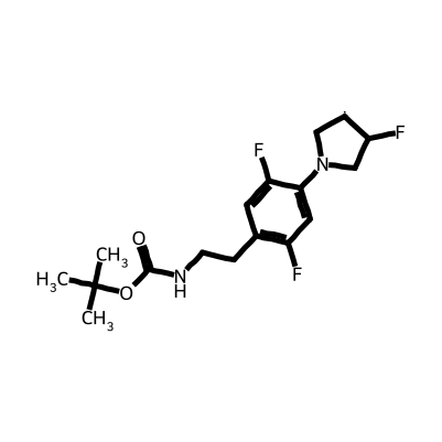 CC(C)(C)OC(=O)NCCc1cc(F)c(N2C[CH]C(F)C2)cc1F